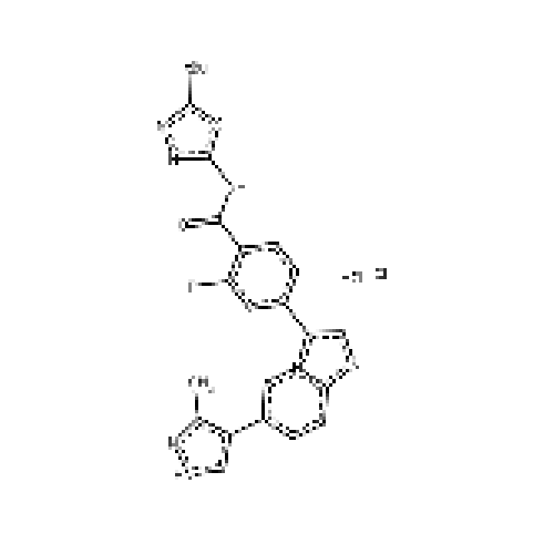 Cc1n[nH]cc1-c1ccc2ncc(-c3ccc(C(=O)Nc4nnc(C(C)(C)C)s4)c(F)c3)n2c1.Cl.Cl